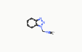 [C-]#[N+]Cn1nnc2ccccc21